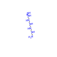 N=NNCCNCCNCCNCCNCCN